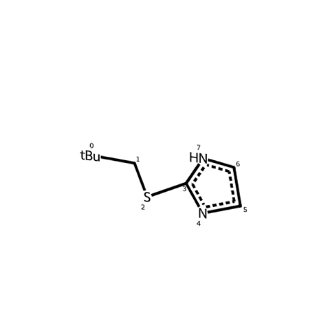 CC(C)(C)CSc1ncc[nH]1